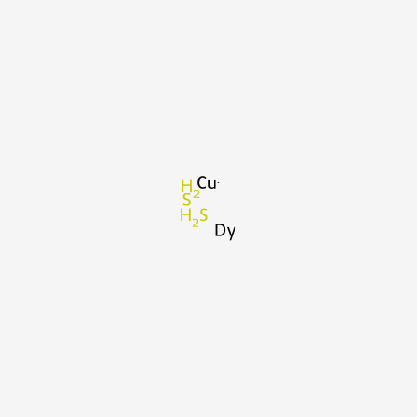 S.S.[Cu].[Dy]